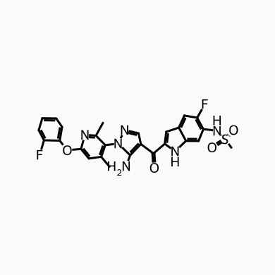 Cc1cc(Oc2ccccc2F)nc(C)c1-n1ncc(C(=O)c2cc3cc(F)c(NS(C)(=O)=O)cc3[nH]2)c1N